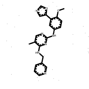 COc1ccc(Nc2ncc(C)c(NCc3cccnc3)n2)cc1-c1cnco1